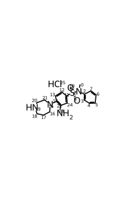 CN(c1ccccc1)S(=O)(=O)c1ccc(N2CCCNCC2)c(N)c1.Cl